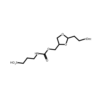 CCCCCCCCCCCCC1OCC(COC(=O)NCCCS(=O)(=O)O)O1